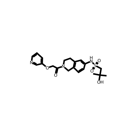 CC(C)(O)CS(=O)(=O)Nc1ccc2c(c1)CCN(C(=O)COc1cccnc1)C2